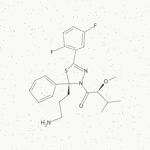 CO[C@H](C(=O)N1N=C(c2cc(F)ccc2F)S[C@@]1(CCCN)c1ccccc1)C(C)C